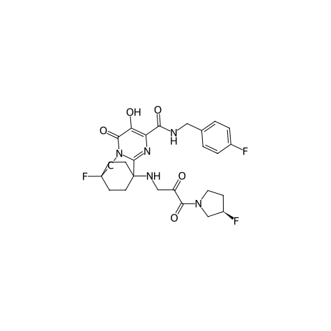 O=C(CNC12CCC(F)(CC1)Cn1c2nc(C(=O)NCc2ccc(F)cc2)c(O)c1=O)C(=O)N1CC[C@@H](F)C1